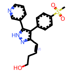 CS(=O)(=O)c1ccc(-c2c(/C=C\CCO)n[nH]c2-c2cccnc2)cc1